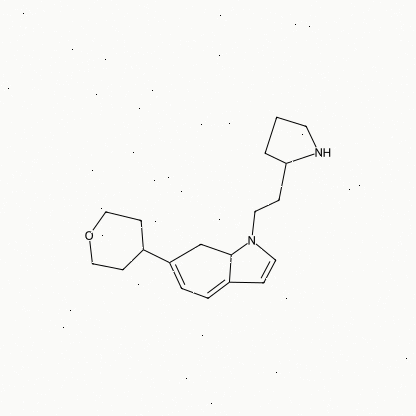 C1=CN(CCC2CCCN2)C2CC(C3CCOCC3)=CC=C12